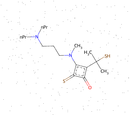 CCCN(CCC)CCCN(C)c1c(C(C)(C)S)c(=O)c1=S